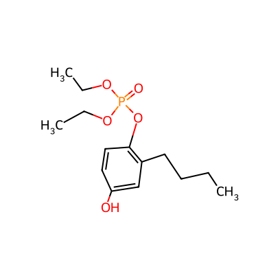 CCCCc1cc(O)ccc1OP(=O)(OCC)OCC